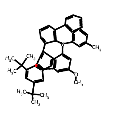 COc1cc(-c2cc(C(C)(C)C)cc(C(C)(C)C)c2)cc(N(c2cccc(C)c2)c2c(-c3ccccc3)cccc2-c2ccccc2)c1